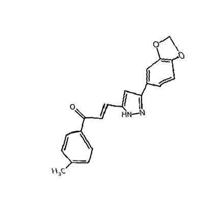 Cc1ccc(C(=O)/C=C/c2cc(-c3ccc4c(c3)OCO4)n[nH]2)cc1